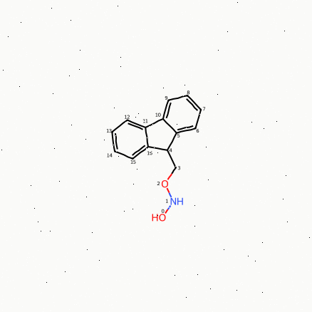 ONOCC1c2ccccc2-c2ccccc21